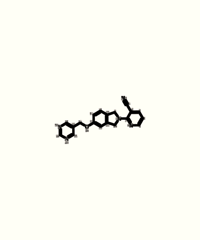 N#Cc1cccnc1N1Cc2ccc(OCc3cncnc3)cc2C1